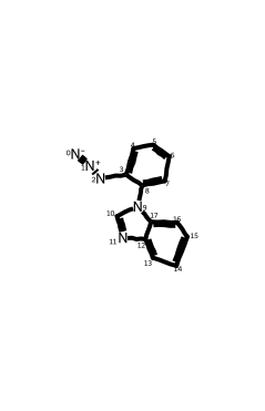 [N-]=[N+]=Nc1ccccc1-n1cnc2ccccc21